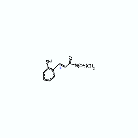 CN(O)C(=O)/C=C/c1ccccc1S